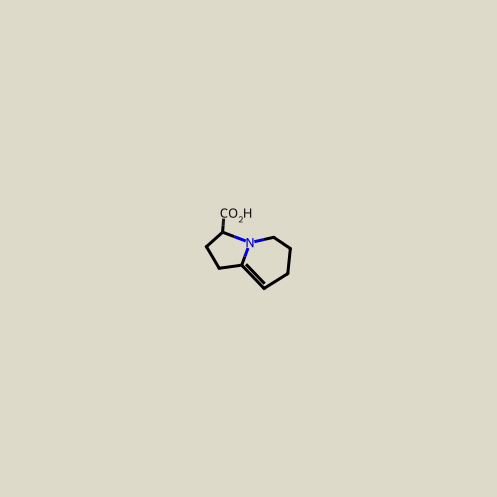 O=C(O)C1CCC2=CCCCN21